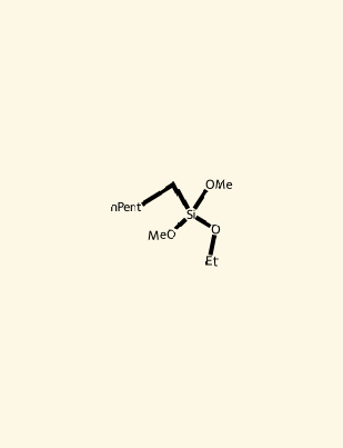 CCCCC[CH][Si](OC)(OC)OCC